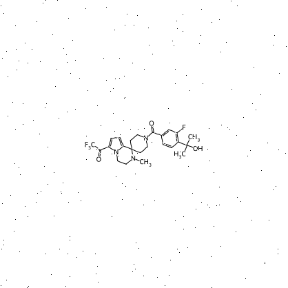 CN1CCn2c(C(=O)C(F)(F)F)ccc2C12CCN(C(=O)c1ccc(C(C)(C)O)c(F)c1)CC2